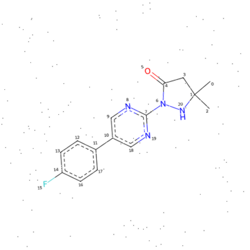 CC1(C)CC(=O)N(c2ncc(-c3ccc(F)cc3)cn2)N1